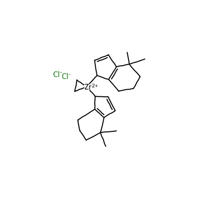 CC1(C)CCCC2=C1C=C[CH]2[Zr+2]1([CH]2C=CC3=C2CCCC3(C)C)[CH2][CH2]1.[Cl-].[Cl-]